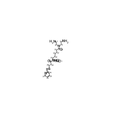 Cl.Cl.NCCN(CCN)C(=O)CCCCCNC(=O)CCSSc1ccccn1